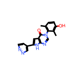 Cc1ccc(O)c(C)c1-n1cnc2[nH]c(-c3ccnnc3)cc2c1=O